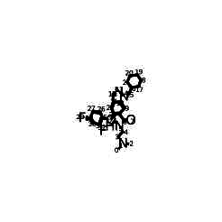 CN(C)CCNC(=O)c1cc2c(cnn2CC2CCCCC2)cc1Oc1ccc(F)cc1F